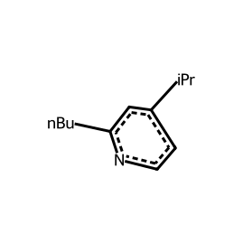 CCCCc1cc(C(C)C)ccn1